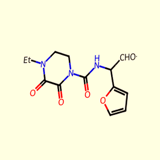 CCN1CCN(C(=O)NC([C]=O)c2ccco2)C(=O)C1=O